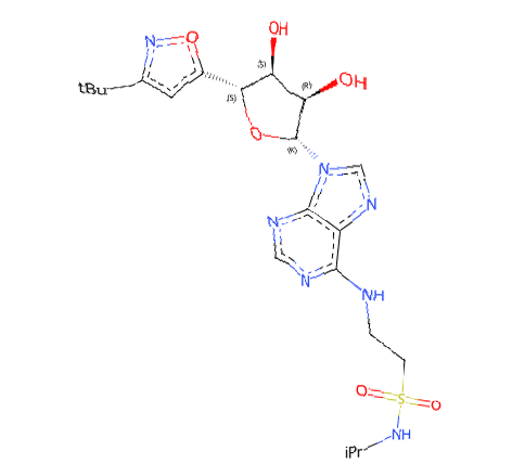 CC(C)NS(=O)(=O)CCNc1ncnc2c1ncn2[C@@H]1O[C@H](c2cc(C(C)(C)C)no2)[C@@H](O)[C@H]1O